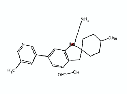 COC1CCC2(CC1)Cc1ccc(-c3cncc(C)c3)cc1C21COC(N)=N1.O=CO